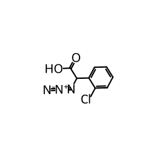 [N-]=[N+]=NC(C(=O)O)c1ccccc1Cl